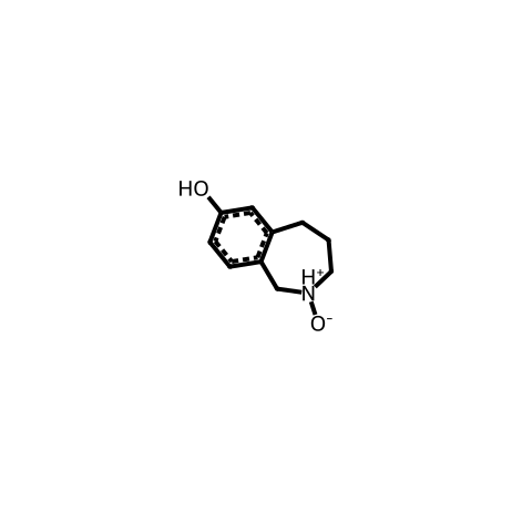 [O-][NH+]1CCCc2cc(O)ccc2C1